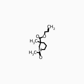 C=CCOC(=O)C1(C)CCCN(C(C)=O)C1